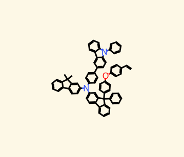 C=Cc1ccc(Oc2ccc(C3(c4ccccc4)c4ccccc4-c4ccc(N(c5ccc(-c6ccc7c(c6)c6ccccc6n7-c6ccccc6)cc5)c5ccc6c(c5)C(C)(C)c5ccccc5-6)cc43)cc2)cc1